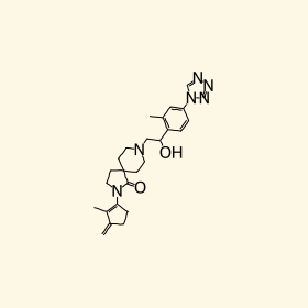 C=C1CCC(N2CCC3(CCN(CC(O)c4ccc(-n5cnnn5)cc4C)CC3)C2=O)=C1C